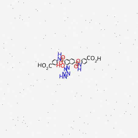 O=C(O)c1ccc(NS(=O)(=O)c2ccc3cc(S(=O)(=O)Nc4ccc(C(=O)O)cc4)c(O)c(/N=N/c4nc[nH]n4)c3c2)cc1